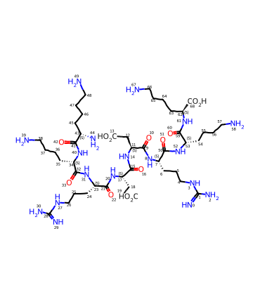 N=C(N)NCCC[C@H](NC(=O)[C@H](CC(=O)O)NC(=O)[C@H](CC(=O)O)NC(=O)[C@H](CCCNC(=N)N)NC(=O)[C@H](CCCCN)NC(=O)[C@@H](N)CCCCN)C(=O)N[C@@H](CCCCN)C(=O)N[C@@H](CCCCN)C(=O)O